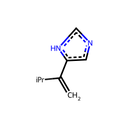 C=C(c1cnc[nH]1)C(C)C